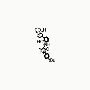 CC1=NN(c2ccc(C(C)(C)C)cc2)C(=O)C1=NNc1cccc(C2CCN(CC(=O)O)CC2)c1O